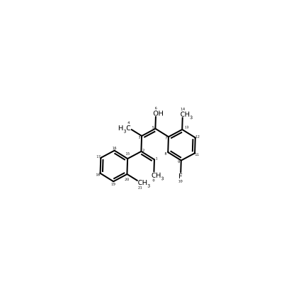 CC=C(/C(C)=C(/O)c1cc(F)ccc1C)c1ccccc1C